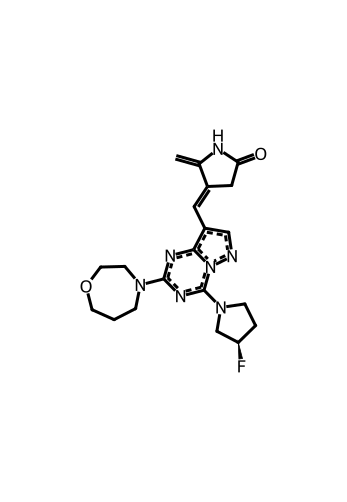 C=C1NC(=O)C/C1=C\c1cnn2c(N3CC[C@@H](F)C3)nc(N3CCCOCC3)nc12